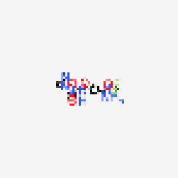 CN(C)C1CCCN1C(=O)N1CCOC[C@@H]1CNC(=O)c1ccc(C(N)N2O[C@H]2C(C)(F)F)cc1